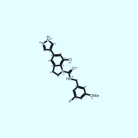 COc1cc(F)cc(CNC(=O)N2CCc3cc(-c4cn[nH]c4)cc(Cl)c32)c1